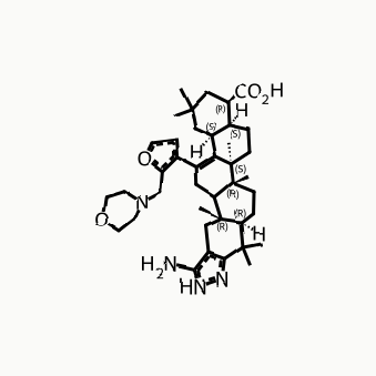 CC1(C)C[C@@H]2C3=C(c4ccoc4CN4CCOCC4)CC4[C@@]5(C)Cc6c(n[nH]c6N)C(C)(C)[C@@H]5CC[C@@]4(C)[C@]3(C)CC[C@@H]2[C@H](C(=O)O)C1